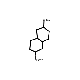 CCCCCCC1CCC2CC(CCCCC)CCC2C1